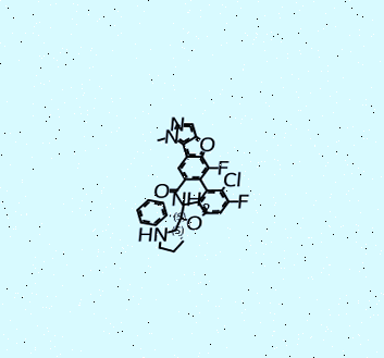 Cn1ncc2oc3c(F)c(-c4c(Cl)c(F)cc5c4C[C@](c4ccccc4)([C@@H]4CCCN4)O5)c(C(N)=O)cc3c21